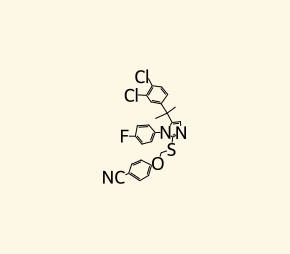 CC(C)(c1ccc(Cl)c(Cl)c1)c1cnc(SCOc2ccc(C#N)cc2)n1-c1ccc(F)cc1